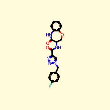 O=C(NC1COc2ccccc2NC1=O)c1cn(Cc2ccc(F)cc2)nn1